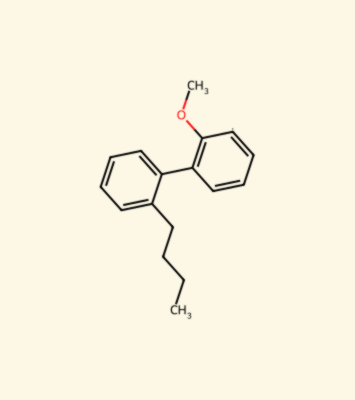 CCCCc1ccccc1-c1ccc[c]c1OC